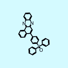 O=P(c1ccccc1)(c1ccccc1)c1ccc(-c2cc3nc4ccccc4nc3c3ccccc23)cc1